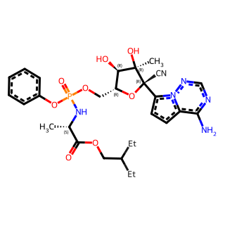 CCC(CC)COC(=O)[C@H](C)NP(=O)(OC[C@H]1O[C@@](C#N)(c2ccc3c(N)ncnn23)[C@](C)(O)[C@@H]1O)Oc1ccccc1